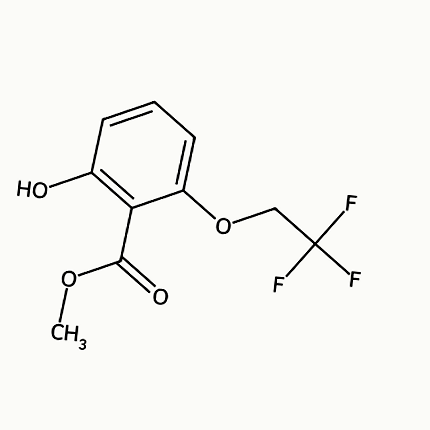 COC(=O)c1c(O)cccc1OCC(F)(F)F